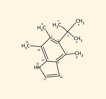 Cc1c(C(C)(C)C)c(C)c2cc[nH]c2c1C